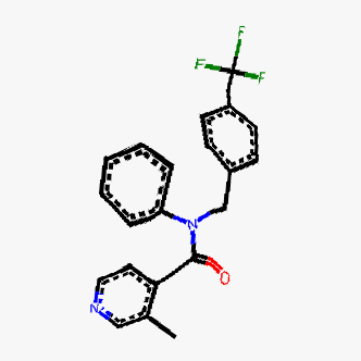 Cc1cnccc1C(=O)N(Cc1ccc(C(F)(F)F)cc1)c1ccccc1